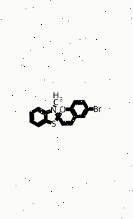 CN1c2ccccc2SC12C=Cc1cc(Br)ccc1O2